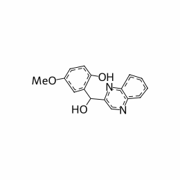 COc1ccc(O)c(C(O)c2cnc3ccccc3n2)c1